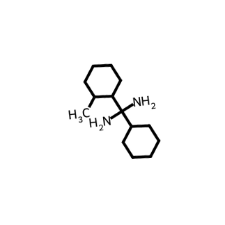 CC1CCCCC1C(N)(N)C1CCCCC1